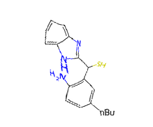 CCCCc1ccc(N)c(C(S)c2nc3ccccc3[nH]2)c1